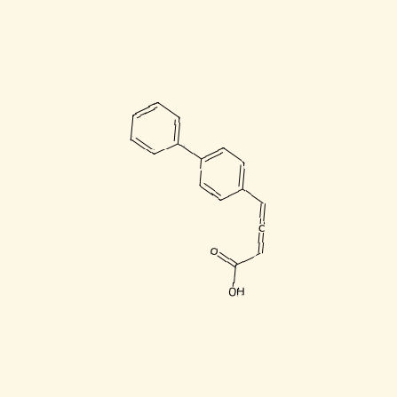 O=C(O)C=C=Cc1ccc(-c2ccccc2)cc1